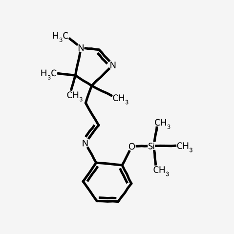 CN1C=NC(C)(CC=Nc2ccccc2O[Si](C)(C)C)C1(C)C